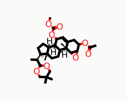 COC(=O)OC1C=C2CC(OC(C)=O)C3OC3[C@]2(C)[C@H]2CC[C@]3(C)[C@@H](C(C)C4OCC(C)(C)CO4)CC[C@H]3[C@H]12